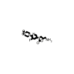 NCC1CN(c2cnc(N3CCS(=O)(=O)CC3)c(F)c2)C(=O)O1